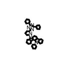 c1ccc(-c2nc(-c3ccccc3)nc(-c3cccc(-n4c5ccccc5c5c4ccc4c6ccccc6n(-c6ccccc6)c45)n3)n2)cc1